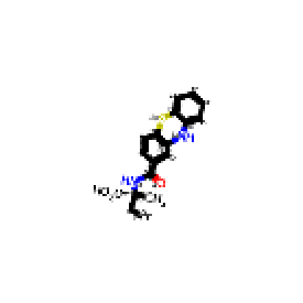 CC(C)C[C@](C)(NC(=O)c1ccc2c(c1)Nc1ccccc1S2)C(=O)O